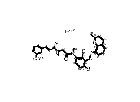 COc1cccc(C=CC(=O)NCC(=O)N(C)c2ccc(Cl)c(COc3cccc4ccc(C)nc34)c2Cl)c1.Cl